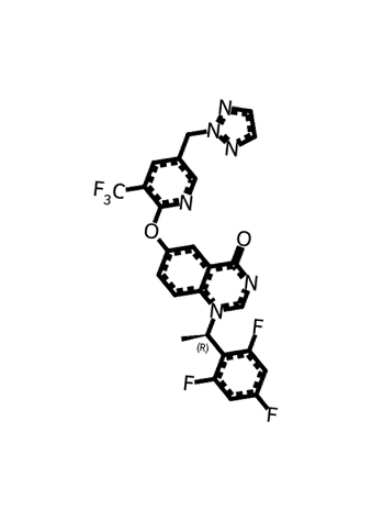 C[C@H](c1c(F)cc(F)cc1F)n1cnc(=O)c2cc(Oc3ncc(Cn4nccn4)cc3C(F)(F)F)ccc21